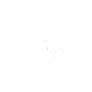 CCOC(=O)C(C)CC(=N)C(=O)/C=C/c1ccc(Sc2cccc(Br)c2)c([N+](=O)[O-])c1